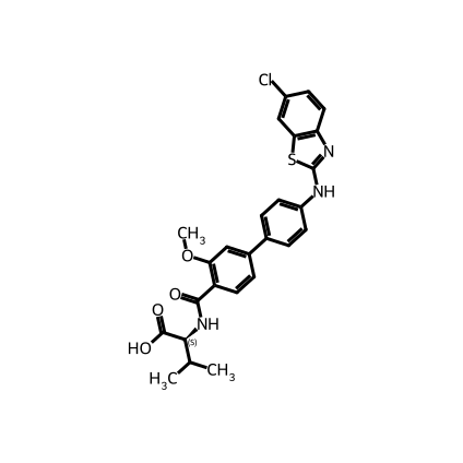 COc1cc(-c2ccc(Nc3nc4ccc(Cl)cc4s3)cc2)ccc1C(=O)N[C@H](C(=O)O)C(C)C